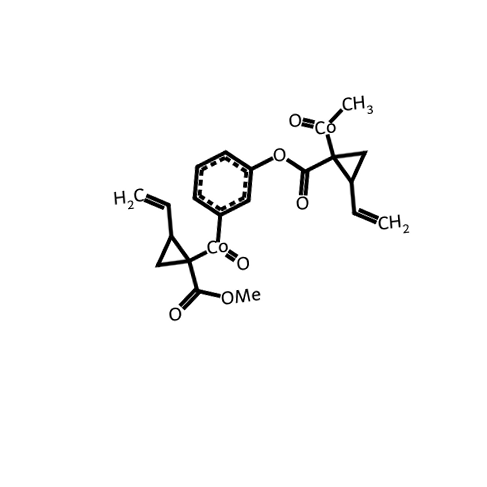 C=CC1C[C]1(C(=O)Oc1ccc[c]([Co](=[O])[C]2(C(=O)OC)CC2C=C)c1)[Co]([CH3])=[O]